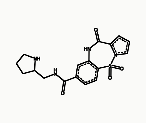 O=C(NCC1CCCN1)c1ccc2c(c1)NC(=O)c1cccn1S2(=O)=O